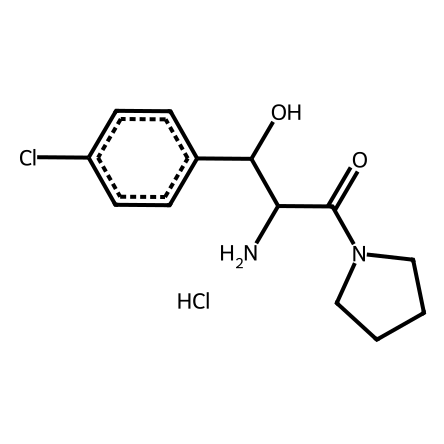 Cl.NC(C(=O)N1CCCC1)C(O)c1ccc(Cl)cc1